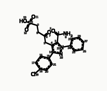 NC(=O)c1c(CC(=O)CCS(=O)(=O)O)c(-c2ccc(Cl)cc2)nn1-c1ccccc1